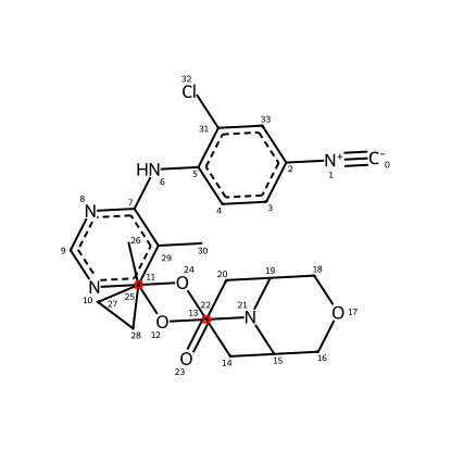 [C-]#[N+]c1ccc(Nc2ncnc(OC3CC4COCC(C3)N4C(=O)OC3(C)CC3)c2C)c(Cl)c1